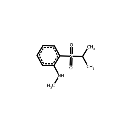 CNc1ccccc1S(=O)(=O)C(C)C